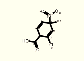 O=C(O)C1C=CC(F)([N+](=O)[O-])C=C1Cl